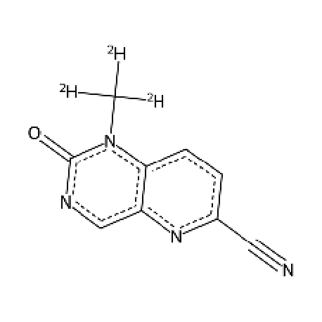 [2H]C([2H])([2H])n1c(=O)ncc2nc(C#N)ccc21